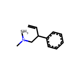 C=CC(CN(C)[SiH3])c1ccccc1